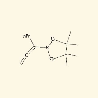 C=C=C(CCC)B1OC(C)(C)C(C)(C)O1